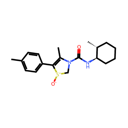 CC1=C(c2ccc(C)cc2)[S+]([O-])CN1C(=O)N[C@@H]1CCCC[C@H]1C